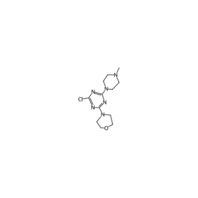 CN1CCN(c2nc(Cl)nc(N3CCOCC3)n2)CC1